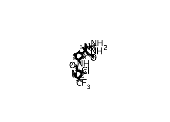 CC1(c2cccc(NC(=O)c3ncc(C(F)(F)F)cc3Cl)c2)CC(=O)NC(N)=N1